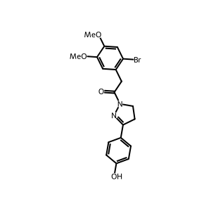 COc1cc(Br)c(CC(=O)N2CCC(c3ccc(O)cc3)=N2)cc1OC